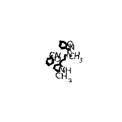 CC1CCC(C(CCN(C)c2noc3ccccc23)Oc2ccccc2C#N)CN1